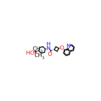 CC(C)(O)[C@H]1CC[C@H](NC(=O)[C@H]2C[C@H](Oc3cccc4cccnc34)C2)CC1